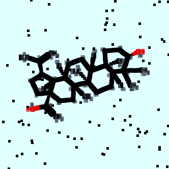 C=C(C)[C@@H]1CC[C@]2(C(=C)O)CC[C@]3(C)[C@H](CC[C@@H]4[C@@]5(C)CC[C@H](O)C(C)(C)[C@@H]5CC[C@]43C)[C@@H]12